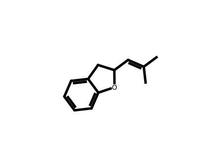 CC(C)=CC1Cc2ccccc2O1